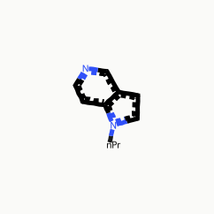 CCCn1ccc2cnccc21